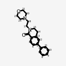 O=C1c2ccc(-c3ccccc3)cc2CCN1CCN1CCOCC1